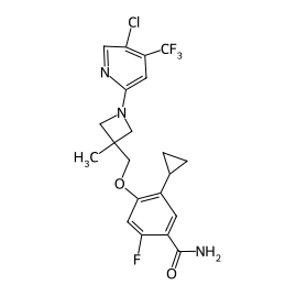 CC1(COc2cc(F)c(C(N)=O)cc2C2CC2)CN(c2cc(C(F)(F)F)c(Cl)cn2)C1